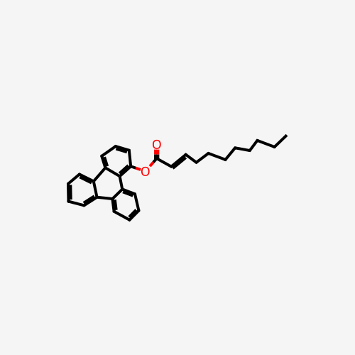 CCCCCCCCC=CC(=O)Oc1cccc2c3ccccc3c3ccccc3c12